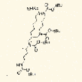 CC(=O)NCCCCCCC(CN(CCCCNC(=O)OC(C)(C)C)C(=O)OC(C)(C)C)CN(CCCCNC(=O)OC(C)(C)C)C(=O)OC(C)(C)C